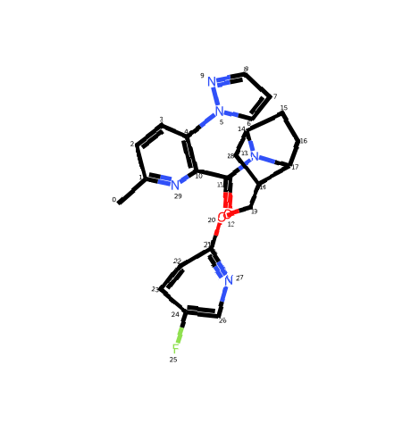 Cc1ccc(-n2cccn2)c(C(=O)N2C3CCC2C(COc2ccc(F)cn2)C3)n1